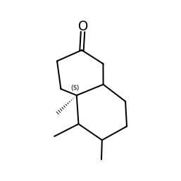 CC1CCC2CC(=O)CC[C@]2(C)C1C